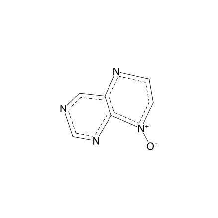 [O-][n+]1ccnc2cncnc21